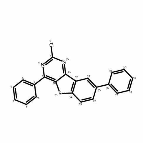 Clc1nc(-c2ccccc2)c2sc3ccc(-c4ccccc4)cc3c2n1